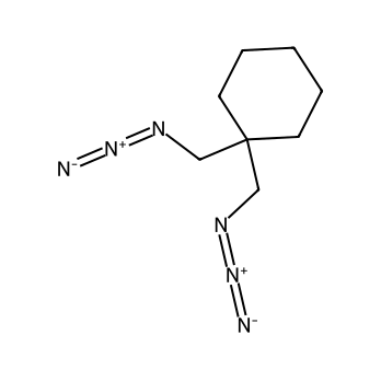 [N-]=[N+]=NCC1(CN=[N+]=[N-])CCCCC1